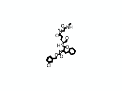 CCNC(=O)CN(C)C(=O)CC[C@@H](C=O)NC(=O)/C(CC1CCCCC1)=N/C(=O)OCc1cccc(Cl)c1